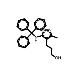 Cc1n[nH]c(NC(c2ccccc2)(c2ccccc2)c2ccccc2)c1CCCO